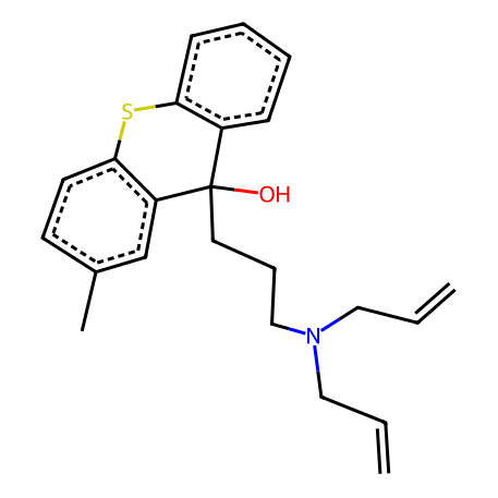 C=CCN(CC=C)CCCC1(O)c2ccccc2Sc2ccc(C)cc21